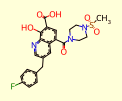 CS(=O)(=O)N1CCN(C(=O)c2cc(C(=O)O)c(O)c3ncc(Cc4ccc(F)cc4)cc23)CC1